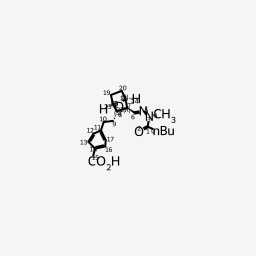 CCCCC(=O)N(C)N=C[C@H]1[C@H](CCc2ccc(C(=O)O)cc2)[C@H]2CC[C@@H]1O2